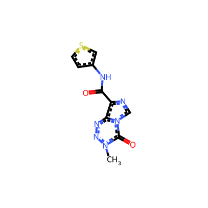 Cn1nnc2c(C(=O)Nc3ccsc3)ncn2c1=O